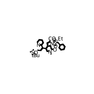 CCOC(=O)c1cc2c(C(=CCO[Si](C)(C)C(C)(C)C)c3ccccn3)cn(C)c(=O)c2n1S(=O)(=O)Cc1ccccc1